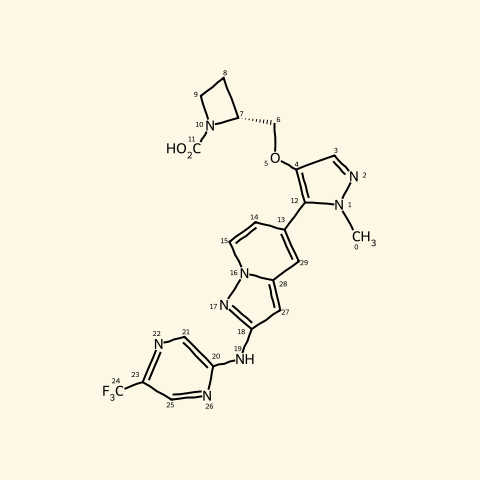 Cn1ncc(OC[C@H]2CCN2C(=O)O)c1-c1ccn2nc(Nc3cnc(C(F)(F)F)cn3)cc2c1